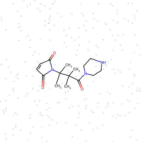 CC(C)(C(=O)N1CCNCC1)C(C)(C)N1C(=O)C=CC1=O